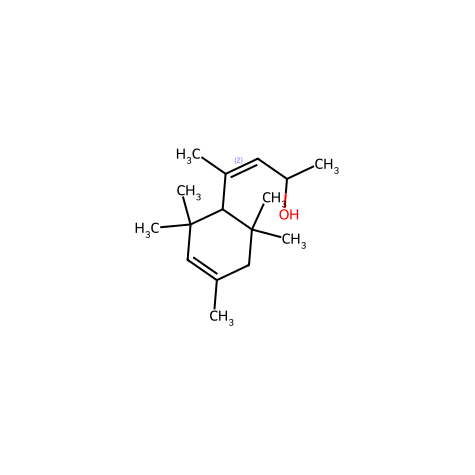 CC1=CC(C)(C)C(/C(C)=C\C(C)O)C(C)(C)C1